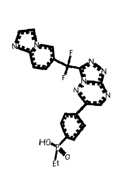 CCP(=O)(O)c1ccc(-c2cnc3nnc(C(F)(F)c4ccc5nccn5c4)n3n2)cc1